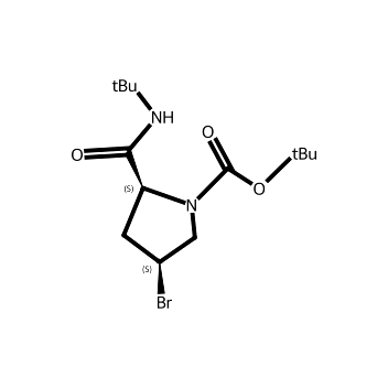 CC(C)(C)NC(=O)[C@@H]1C[C@H](Br)CN1C(=O)OC(C)(C)C